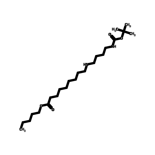 CCCCCOC(=O)CCCCCCCCNCCCCNC(=O)OC(C)(C)C